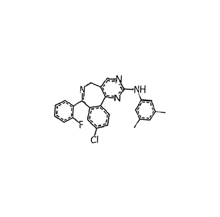 Cc1cc(C)cc(Nc2ncc3c(n2)-c2ccc(Cl)cc2C(c2ccccc2F)=NC3)c1